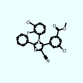 COC(=O)c1cc(Cl)cc(-c2c(C#N)nc(-c3ccccc3)n2-c2cccc(Cl)c2F)c1